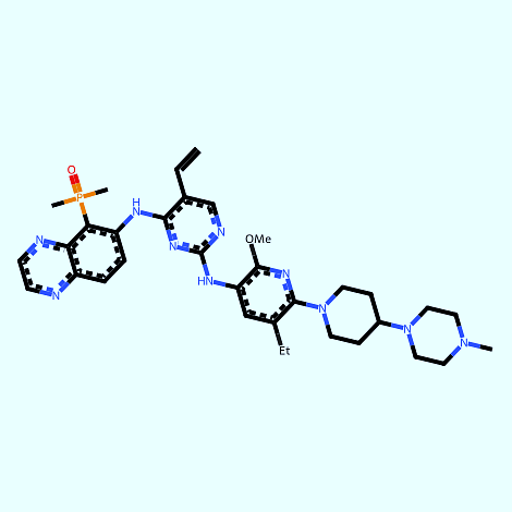 C=Cc1cnc(Nc2cc(CC)c(N3CCC(N4CCN(C)CC4)CC3)nc2OC)nc1Nc1ccc2nccnc2c1P(C)(C)=O